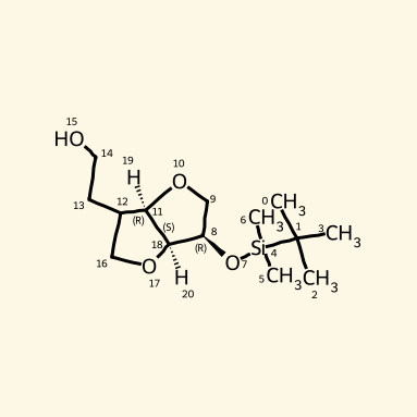 CC(C)(C)[Si](C)(C)O[C@@H]1CO[C@@H]2C(CCO)CO[C@@H]21